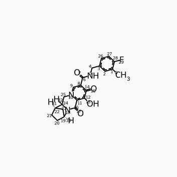 Cc1cc(CNC(=O)c2cn3c(c(O)c2=O)C(=O)N2[C@H]4CC[C@H](C4)[C@@H]2C3)ccc1F